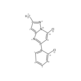 Cc1cc2nc(-c3ccccc3Cl)cc(Cl)n2n1